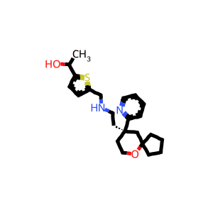 CC(O)c1ccc(CNCC[C@@]2(c3ccccn3)CCOC3(CCCC3)C2)s1